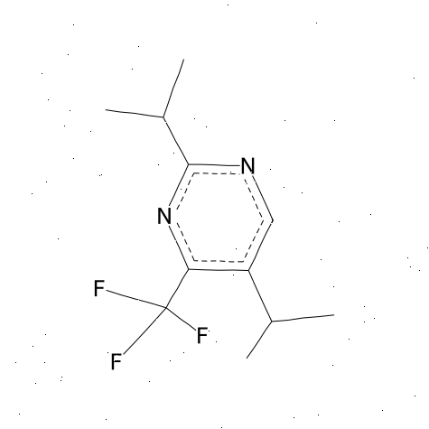 CC(C)c1ncc(C(C)C)c(C(F)(F)F)n1